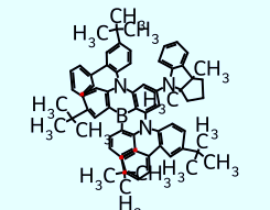 CC(C)(C)c1ccc2c(c1)B1c3ccc(C(C)(C)C)cc3N(c3ccc(C(C)(C)C)cc3-c3ccccc3)c3cc(N4c5ccccc5C5(C)CCCC45C)cc(c31)N2c1ccc(C(C)(C)C)cc1-c1ccccc1